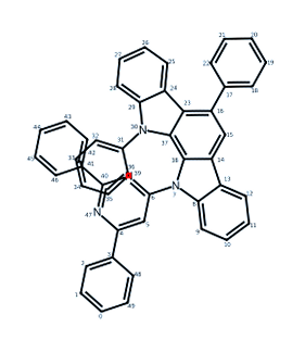 c1ccc(-c2cc(-n3c4ccccc4c4cc(-c5ccccc5)c5c6ccccc6n(-c6ccccc6)c5c43)nc(-c3ccccc3)n2)cc1